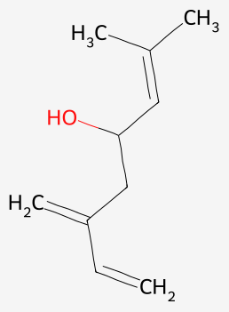 C=CC(=C)CC(O)C=C(C)C